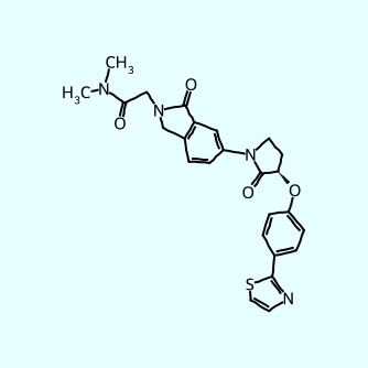 CN(C)C(=O)CN1Cc2ccc(N3CC[C@@H](Oc4ccc(-c5nccs5)cc4)C3=O)cc2C1=O